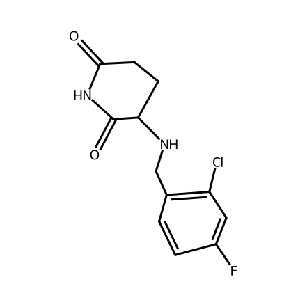 O=C1CCC(NCc2ccc(F)cc2Cl)C(=O)N1